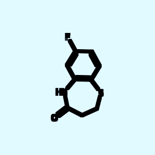 O=C1CCSc2ccc(F)cc2N1